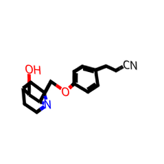 N#CCCc1ccc(OCC2C(O)C3CCN2CC3)cc1